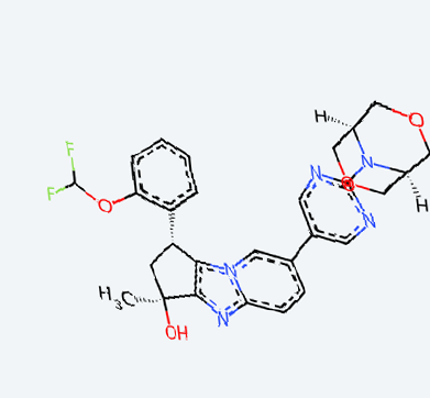 C[C@]1(O)C[C@H](c2ccccc2OC(F)F)c2c1nc1ccc(-c3cnc(N4[C@H]5COC[C@@H]4COC5)nc3)cn21